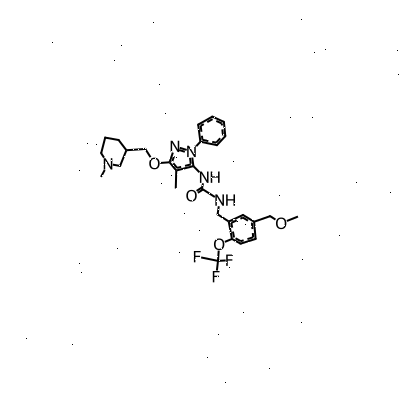 COCc1ccc(OC(F)(F)F)c(CNC(=O)Nc2c(C)c(OCC3CCCN(C)C3)nn2-c2ccccc2)c1